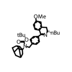 CCCC[C@H]1Cc2cc(OC)ccc2C(c2ccc(CN(C(=O)OC(C)(C)C)C34CC5CC(CC(C5)C3)C4)cc2)=N1